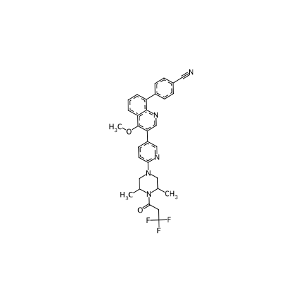 COc1c(-c2ccc(N3CC(C)N(C(=O)CC(F)(F)F)C(C)C3)nc2)cnc2c(-c3ccc(C#N)cc3)cccc12